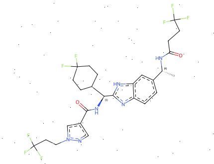 C[C@@H](NC(=O)CCC(F)(F)F)c1ccc2nc([C@@H](NC(=O)c3cnn(CCC(F)(F)F)c3)C3CCC(F)(F)CC3)[nH]c2c1